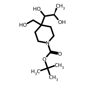 C[C@@H](O)C(O)C1(CO)CCN(C(=O)OC(C)(C)C)CC1